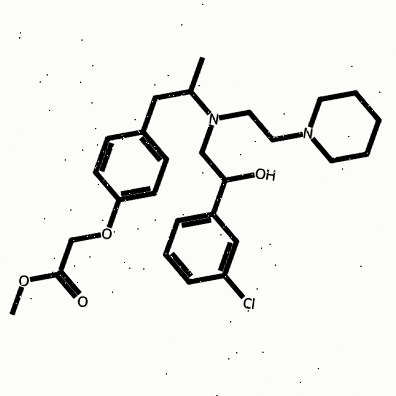 COC(=O)COc1ccc(CC(C)N(CCN2CCCCC2)CC(O)c2cccc(Cl)c2)cc1